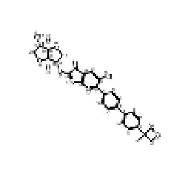 CC1(c2ccc(-c3ccc(-c4nc5nc(O[C@@H]6CO[C@H]7[C@@H]6OC[C@H]7O)[nH]c5cc4Cl)cc3)cc2)COC1